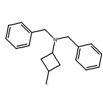 [CH2]C1CC(N(Cc2ccccc2)Cc2ccccc2)C1